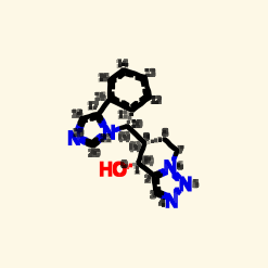 O[C@H]1c2cnnn2CC[C@H]1[C@H]1c2ccccc2-c2cncn21